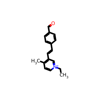 CC[n+]1ccc(C)c(C=Cc2ccc(C=O)cc2)c1